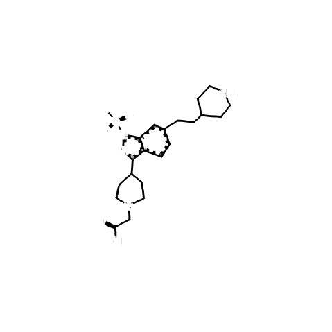 CS(=O)(=O)n1nc(C2CCN(CC(=O)O)CC2)c2ccc(CCC3CCNCC3)cc21